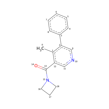 Cc1c(-c2ccccc2)[c]ncc1C(=O)N1CCC1